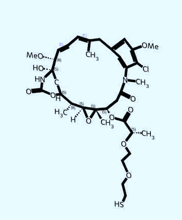 COc1cc2cc(c1Cl)N(C)C(=O)C[C@H](OC(=O)[C@H](C)OCCOCCS)[C@]1(C)O[C@H]1[C@H](C)[C@@H]1C[C@@](O)(NC(=O)O1)[C@H](OC)/C=C/C=C(\C)C2